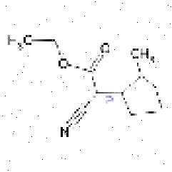 CCOC(=O)/C(C#N)=C1/CCCC1C